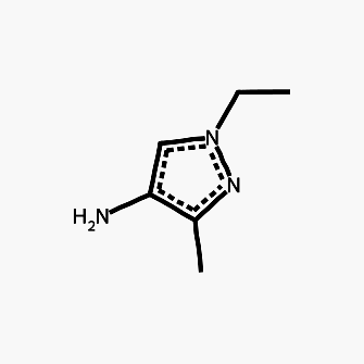 CCn1cc(N)c(C)n1